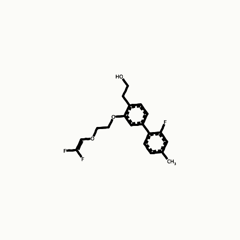 Cc1ccc(-c2ccc(CCO)c(OCCOC=C(F)F)c2)c(F)c1